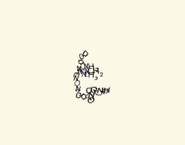 C=N/C(N)=C1/C(c2ccc(Oc3ccccc3)cc2)=NN([C@@H]2CCCN(C3CCC(N4CC(Oc5ccc6c(c5)C(=O)N(C5CCC(=O)NC5=O)C6=O)C4)CC3)C2)/C1=N/C